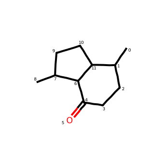 CC1CCC(=O)C2C(C)CCC12